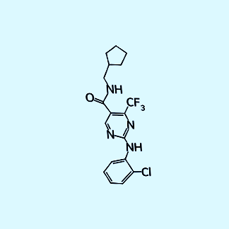 O=C(NCC1CCCC1)c1cnc(Nc2ccccc2Cl)nc1C(F)(F)F